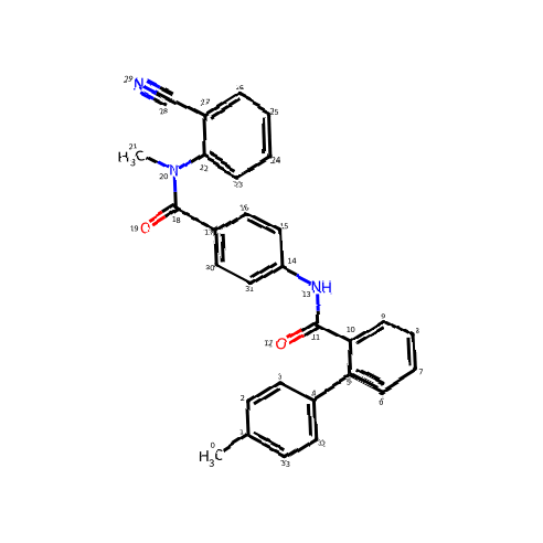 Cc1ccc(-c2ccccc2C(=O)Nc2ccc(C(=O)N(C)c3ccccc3C#N)cc2)cc1